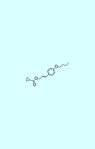 CCCCOc1ccc(C=CCOC(=O)C2CC2)cc1